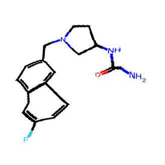 NC(=O)NC1CCN(Cc2ccc3cc(F)ccc3c2)C1